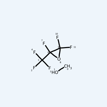 CO.FC(F)(F)C1(F)OC1(F)F